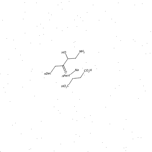 CCCCCCCCCCCC(=O)C(O)CN.CCCC[CH2][Na].O=C(O)CCC(=O)O